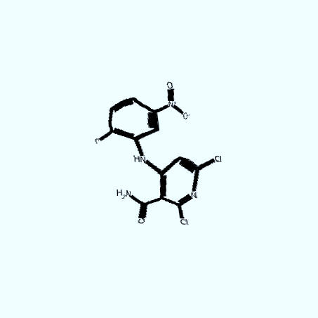 NC(=O)c1c(Nc2cc([N+](=O)[O-])ccc2F)cc(Cl)nc1Cl